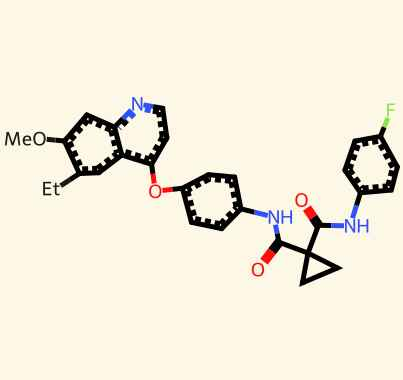 CCc1cc2c(Oc3ccc(NC(=O)C4(C(=O)Nc5ccc(F)cc5)CC4)cc3)ccnc2cc1OC